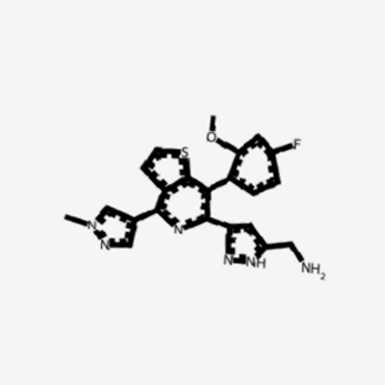 COc1cc(F)ccc1-c1c(-c2cc(CN)[nH]n2)nc(-c2cnn(C)c2)c2ccsc12